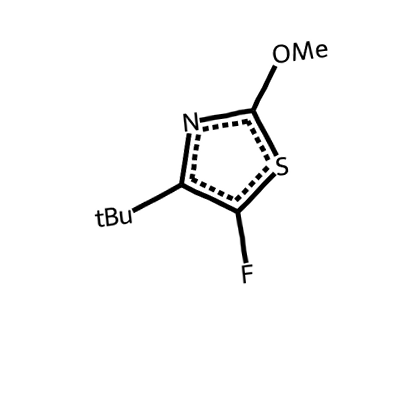 COc1nc(C(C)(C)C)c(F)s1